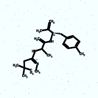 C=C(N[C@@H](Cc1ccc(C)cc1)C(=C)C)C(C)N/C(CC(C)(C)C)=N/C